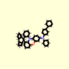 c1ccc(-c2ccc(N(c3ccccc3)c3ccc4c(c3)Oc3cccc5c3N4c3ccccc3C53c4ccccc4-c4ccccc43)cc2)cc1